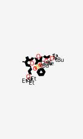 C=C1C(C[C@@H]2O[C@H](CC(CO[Si](C)(C)C(C)(C)C)O[Si](C)(C)C(C)(C)C)[C@H](OC)C2CS(=O)(=O)c2ccccc2)O[C@@H](CCCO[Si](CC)(CC)CC)C[C@H]1C